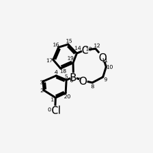 Clc1cccc(B2OCCCOCCc3ccccc32)c1